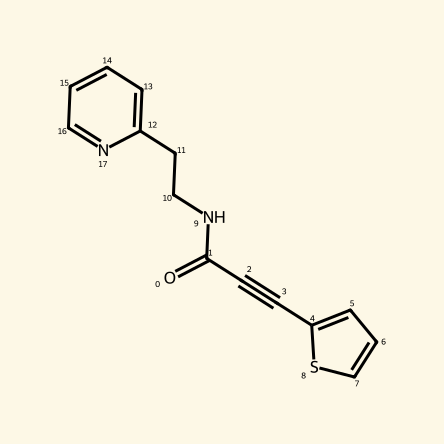 O=C(C#Cc1cccs1)NCCc1ccccn1